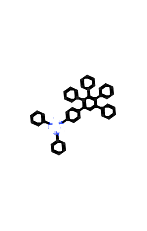 c1ccc(-c2nc(-c3ccccc3)nc(-c3ccc(-c4cc(-c5ccccc5)c(-c5ccccc5)c(-c5ccccc5)c4-c4ccccc4)cc3)n2)cc1